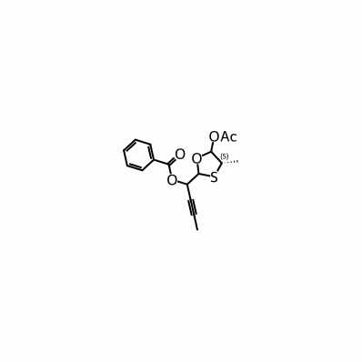 CC#CC(OC(=O)c1ccccc1)C1OC(OC(C)=O)[C@H](C)S1